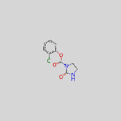 O=C1NCCN1C(=O)Oc1ccccc1Cl